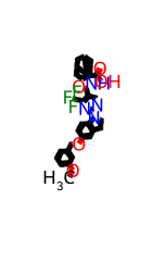 COc1cccc(COc2ccc3c(c2)CCN3c2ncc(C(=O)NC3(C(=O)O)C4CC5CC(C4)CC3C5)c(C(F)(F)F)n2)c1